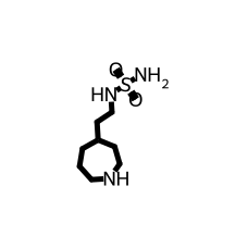 NS(=O)(=O)NCCC1CCCNCC1